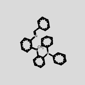 CN(c1ccccc1/N=C/c1ccccc1)c1ccccc1P(c1ccccc1)c1ccccc1